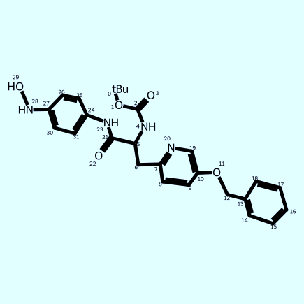 CC(C)(C)OC(=O)NC(Cc1ccc(OCc2ccccc2)cn1)C(=O)Nc1ccc(NO)cc1